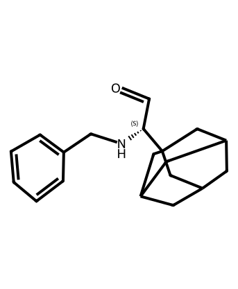 O=C[C@@H](NCc1ccccc1)C12CC3CC(CC(C3)C1)C2